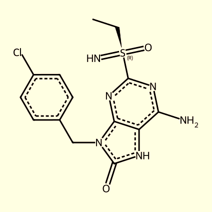 CC[S@@](=N)(=O)c1nc(N)c2[nH]c(=O)n(Cc3ccc(Cl)cc3)c2n1